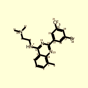 Cc1cccc2c(NCCN(C)C)nc(-c3cc(Br)cc(C(F)(F)F)c3)nc12